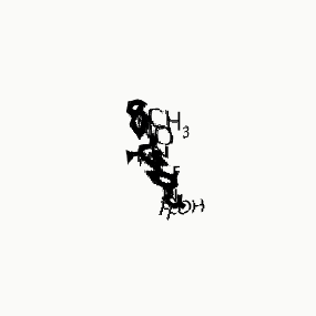 C[C@@H]1c2ccccc2CCN1C(=O)c1cc(C2CC2)n2nc(-c3ccc(N4CC(O)C(F)(F)C4)cc3F)cc2n1